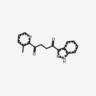 Cc1cccnc1C(=O)CCC(=O)c1n[nH]c2ccccc12